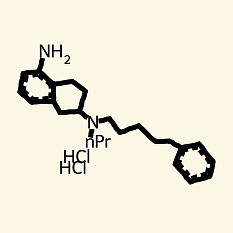 CCCN(CCCCCc1ccccc1)C1CCc2c(N)cccc2C1.Cl.Cl